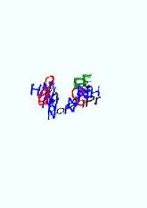 CC(C)Oc1cc2nc([C@H]3CC[C@H](CN(C)C4CCN(c5cccc6c5n(C)c(=O)n6C5CCC(=O)NC5=O)CC4)CC3)cn2cc1C(=O)Nc1cccc(C(F)F)n1